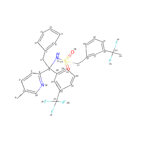 Cc1ccc(C(Cc2ccccc2)(NS(=O)(=O)Cc2cccc(C(C)(F)F)c2)c2cccc(C(F)(F)F)c2)nc1